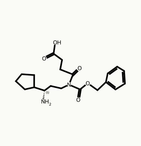 N[C@@H](CCN(C(=O)CCC(=O)O)C(=O)OCc1ccccc1)C1CCCC1